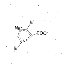 O=C([O-])c1cc(Br)ccc1Br.[Na+]